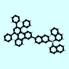 c1ccc(-c2cc(-c3ccccc3)c3c4ccccc4c4cc(-c5ccc6cc(N(c7cccc8ccccc78)c7cccc8ccccc78)ccc6c5)ccc4c3c2-c2ccccc2)cc1